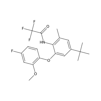 COc1cc(F)ccc1Oc1cc(C(C)(C)C)cc(C)c1NC(=O)C(F)(F)F